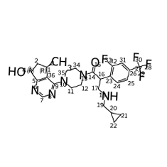 C[C@@H]1C[C@@H](O)c2ncnc(N3CCN(C(=O)C(CNCC4CC4)c4ccc(C(F)(F)F)cc4F)CC3)c21